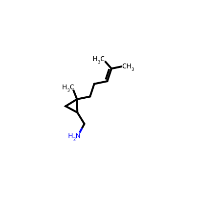 CC(C)=CCCC1(C)CC1CN